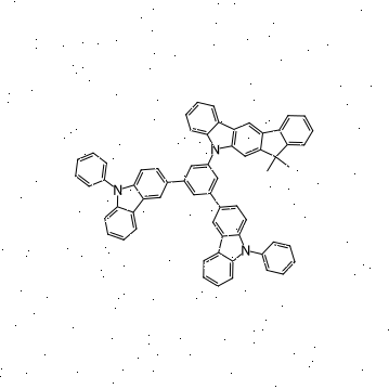 CC1(C)c2ccccc2-c2cc3c4ccccc4n(-c4cc(-c5ccc6c(c5)c5ccccc5n6-c5ccccc5)cc(-c5ccc6c(c5)c5ccccc5n6-c5ccccc5)c4)c3cc21